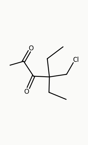 CCC(CC)(CCl)C(=O)C(C)=O